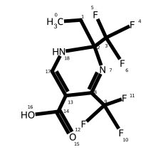 CCC1(C(F)(F)F)N=C(C(F)(F)F)C(C(=O)O)=CN1